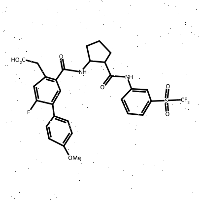 COc1ccc(-c2cc(C(=O)NC3CCCC3C(=O)Nc3cccc(S(=O)(=O)C(F)(F)F)c3)c(CC(=O)O)cc2F)cc1